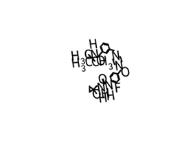 CC(C)(C)NC(=O)c1cccc(CN2CCN(C(=O)c3ccc(NC(=O)NCC4(O)CC4)c(F)c3)CC2)c1